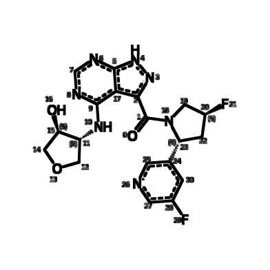 O=C(c1n[nH]c2ncnc(N[C@@H]3COC[C@H]3O)c12)N1C[C@@H](F)C[C@@H]1c1cncc(F)c1